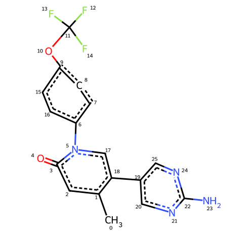 Cc1cc(=O)n(-c2ccc(OC(F)(F)F)cc2)cc1-c1cnc(N)nc1